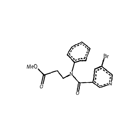 COC(=O)CCN(C(=O)c1cncc(Br)c1)c1ccccc1